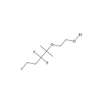 CCOCCOC(C)(C)C(F)(F)CCI